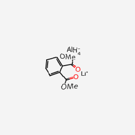 COC(=O)c1ccccc1C(=O)OC.[AlH4-].[Li+]